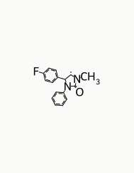 CN1[CH]C(c2ccc(F)cc2)N(c2ccccc2)C1=O